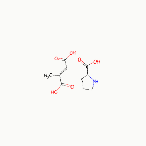 C/C(=C\C(=O)O)C(=O)O.O=C(O)[C@@H]1CCCN1